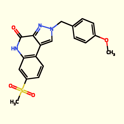 COc1ccc(Cn2cc3c(n2)c(=O)[nH]c2cc(S(C)(=O)=O)ccc23)cc1